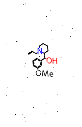 C=CCN1CCCCC1C(O)c1cccc(OC)c1